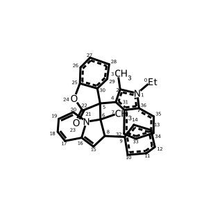 CCn1c(C)c(C2(C3(C)C(c4ccccc4)C=C4C=CC=CN43)C(=O)Oc3ccccc32)c2ccccc21